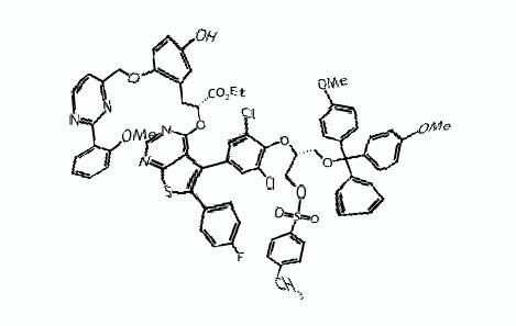 CCOC(=O)[C@@H](Cc1cc(O)ccc1OCc1ccnc(-c2ccccc2OC)n1)Oc1ncnc2sc(-c3ccc(F)cc3)c(-c3cc(Cl)c(O[C@H](COC(c4ccccc4)(c4ccc(OC)cc4)c4ccc(OC)cc4)COS(=O)(=O)c4ccc(C)cc4)c(Cl)c3)c12